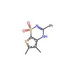 Cc1sc2c(c1C)NC(C(C)C)=NS2(=O)=O